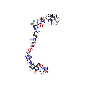 C=N/C(=C\C(=C/C)c1nc(C(=O)Nc2cn(-c3ccc(CNCCOCCOCCn4cc(CNc5ccc6c(c5)C(=O)N(C5CCC(=O)NC5=O)C6=O)nn4)cc3)nc2C(F)F)co1)NCC1CC1